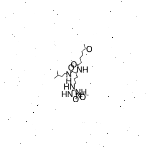 CC(=O)CCCCC(=O)N[C@@H](CCCNC(=N)N[N+](=O)[O-])C(=O)NCCC(C)C